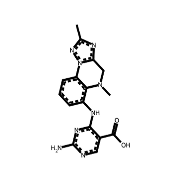 Cc1nc2n(n1)-c1cccc(Nc3nc(N)ncc3C(=O)O)c1N(C)C2